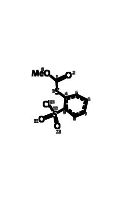 COC(=O)Sc1ccccc1S(=O)(=O)Cl